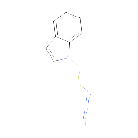 [N-]=[N+]=NSSn1ccc2c1=CCCC=2